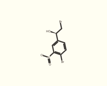 O=[N+]([O-])c1cc([C@@H](O)CBr)ccc1Br